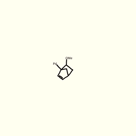 COC1CC2C=C[C]1([Pd])C2